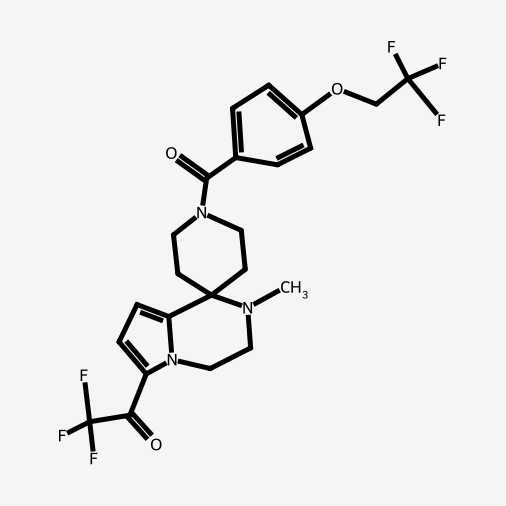 CN1CCn2c(C(=O)C(F)(F)F)ccc2C12CCN(C(=O)c1ccc(OCC(F)(F)F)cc1)CC2